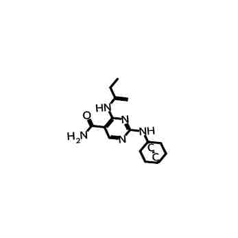 C=C(CC)Nc1nc(NC23CCC(CC2)CC3)ncc1C(N)=O